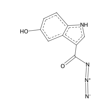 [N-]=[N+]=NC(=O)c1c[nH]c2ccc(O)cc12